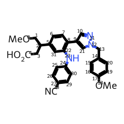 COCC(CC(=O)O)c1ccc(-c2cnn(Cc3ccc(OC)cc3)c2)c(Nc2ccc(C#N)cc2)c1